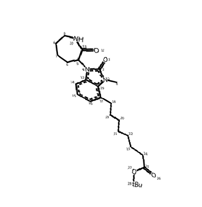 Cn1c(=O)n(C2CCCCNC2=O)c2cccc(CCCCCCCC(=O)OC(C)(C)C)c21